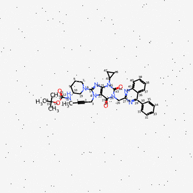 CC#CCn1c(N2CCC[C@@H](NC(=O)OC(C)(C)C)C2)nc2c1c(=O)n(Cc1nc(-c3ccccc3)c3ccccc3n1)c(=O)n2C1CC1